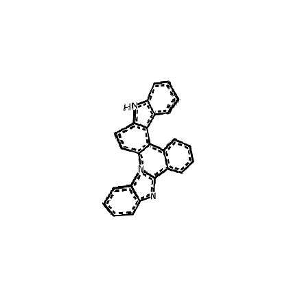 c1ccc2c(c1)nc1c3ccccc3c3c4c(ccc3n21)[nH]c1ccccc14